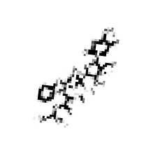 CC(C)OC(=O)[C@H](C)N[P@](=O)(Oc1ccccc1)OC(C)(C)[C@H]1O[C@@H](n2cc(F)c(N)nc2=O)[C@@](Cl)(CF)C1O